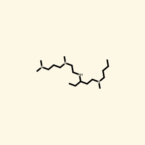 CCCCN(C)CCC(CC)NCCN(C)CCCN(C)C